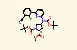 COC(=O)[C@@H]1C[C@H](N(C(=O)OC(C)(C)C)c2cccc(-c3cccc(C#N)c3F)n2)CN1C(=O)OC(C)(C)C